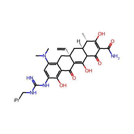 C=C[C@@]12Cc3c(N(C)C)cc(NC(=N)NCC(C)C)c(O)c3C(=O)C1=C(O)C1C(=O)C(C(N)=O)=C(O)[C@@H](C)[C@@H]1C2